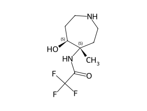 C[C@]1(NC(=O)C(F)(F)F)CCNCC[C@@H]1O